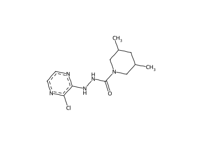 CC1CC(C)CN(C(=O)NNc2nccnc2Cl)C1